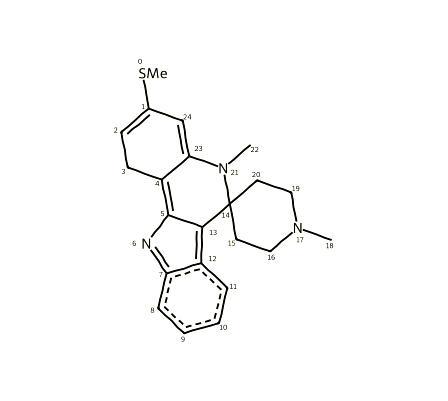 CSC1=CCC2=C3N=c4ccccc4=C3C3(CCN(C)CC3)N(C)C2=C1